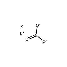 O=[Si]([O-])[O-].[K+].[Li+]